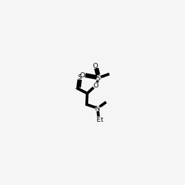 CCN(C)CC([C]=S)OS(C)(=O)=O